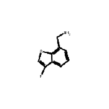 NCc1cccc2c(F)coc12